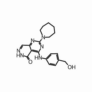 O=c1[nH]ncc2nc(N3CCCCCC3)nc(Nc3ccc(CO)cc3)c12